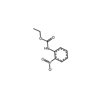 CCOC(=O)Nc1ccccc1[N+](=O)[O-]